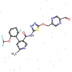 Cc1cc(-c2c(F)cccc2OC(F)F)c(C(=O)Nc2nnc(OCc3cnc(C=O)cn3)s2)cn1